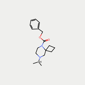 C[SiH](C)N1CCN(C(=O)OCc2ccccc2)C2(CCC2)C1